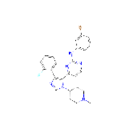 CN1CCC(n2cnc(-c3ccccc3F)c2-c2ccnc(Nc3cccc(Br)c3)n2)CC1